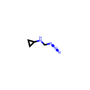 [N-]=[N+]=NCNC1CC1